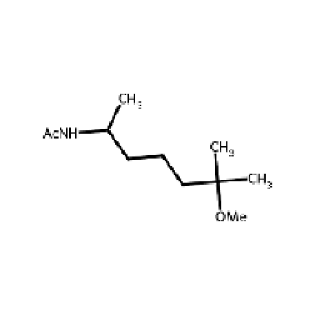 COC(C)(C)CCCC(C)NC(C)=O